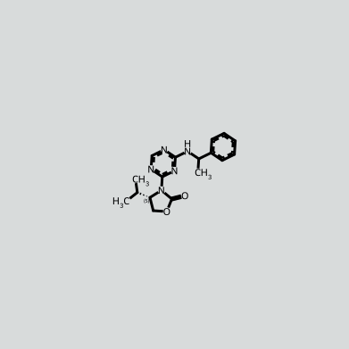 CC(Nc1ncnc(N2C(=O)OC[C@@H]2C(C)C)n1)c1ccccc1